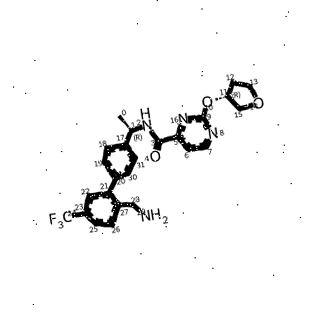 C[C@@H](NC(=O)c1ccnc(O[C@@H]2CCOC2)n1)c1ccc(-c2cc(C(F)(F)F)ccc2CN)cc1